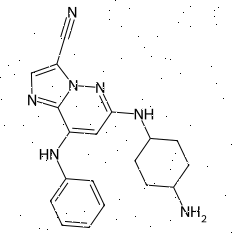 N#Cc1cnc2c(Nc3ccccc3)cc(NC3CCC(N)CC3)nn12